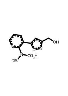 CC(C)(C)N(C(=O)O)c1ncccc1-c1cc(CO)no1